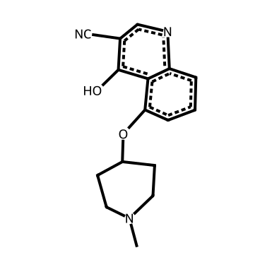 CN1CCC(Oc2cccc3ncc(C#N)c(O)c23)CC1